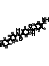 Cc1cc(NC(=O)c2ccc(C(=O)Nc3ccc(C4=CCNCC4)cc3)cc2)ccc1CN